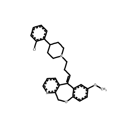 COc1ccc2c(c1)/C(=C/CCN1CCC(c3ccccc3Cl)CC1)c1cccnc1CO2